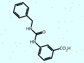 O=C(NCc1ccccc1)Nc1cccc(C(=O)O)c1